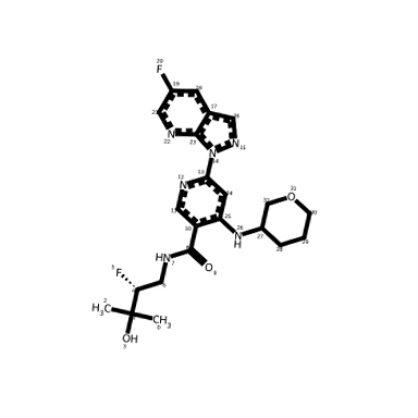 CC(C)(O)[C@H](F)CNC(=O)c1cnc(-n2ncc3cc(F)cnc32)cc1NC1CCCOC1